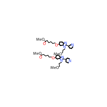 COCCCn1c(-c2cccnc2)nc2ccc(OCCCCCC(=O)OC)cc21.COCCCn1c(-c2ccncc2)nc2ccc(OCCCCCC(=O)OC)cc21